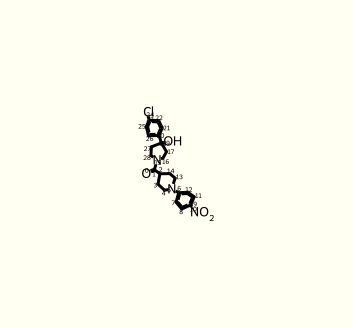 O=C(C1CCN(c2ccc([N+](=O)[O-])cc2)CC1)N1CCC(O)(c2ccc(Cl)cc2)CC1